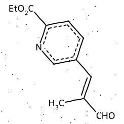 CCOC(=O)c1ccc(C=C(C)C=O)cn1